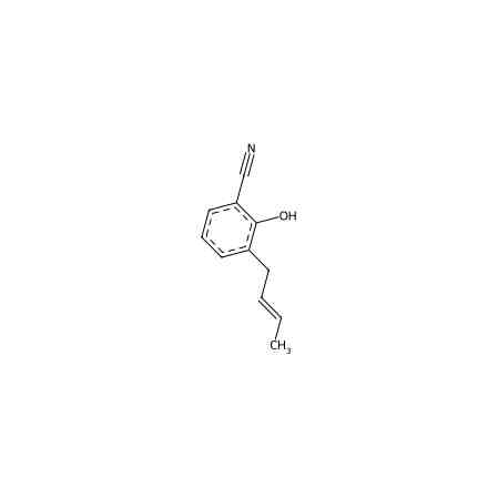 C/C=C/Cc1cccc(C#N)c1O